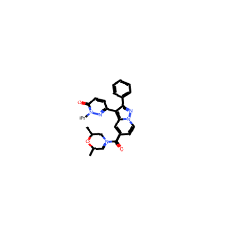 CC1CN(C(=O)c2ccn3nc(-c4ccccc4)c(-c4ccc(=O)n(C(C)C)n4)c3c2)CC(C)O1